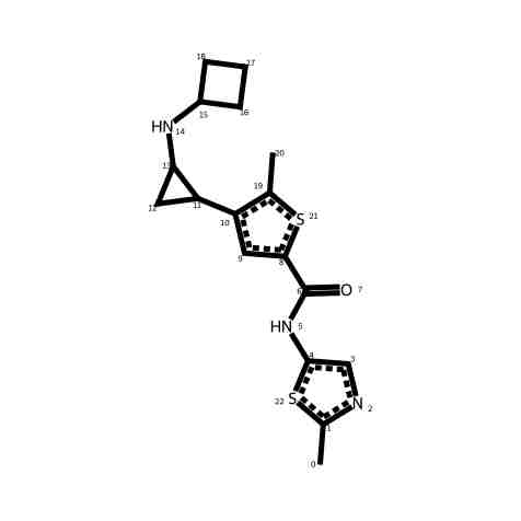 Cc1ncc(NC(=O)c2cc(C3CC3NC3CCC3)c(C)s2)s1